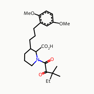 CCC(C)(C)C(=O)C(=O)N1CCCC(CCCc2cc(OC)ccc2OC)C1C(=O)O